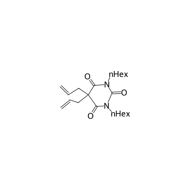 C=CCC1(CC=C)C(=O)N(CCCCCC)C(=O)N(CCCCCC)C1=O